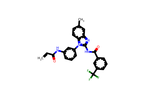 C=CC(=O)Nc1cccc(-n2c(NC(=O)c3cccc(C(F)(F)F)c3)nc3cc(C)ccc32)c1